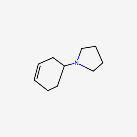 C1=CCC(N2CCCC2)CC1